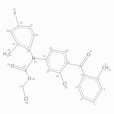 Cc1ccccc1C(=O)c1ccc(N(C(=O)OCCl)c2ccc(F)cc2C)cc1Cl